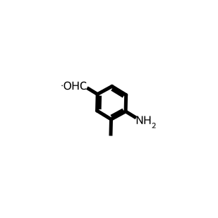 Cc1cc([C]=O)ccc1N